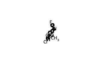 CCOC[C@]12Cc3cnn(-c4ccc(F)cc4)c3C=C1CCN(S(=O)(=O)c1ccc(Cl)nc1)C2